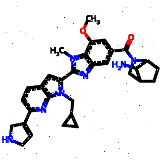 COc1cc(C(=O)N2CC3CCC2C3N)cc2nc(-c3cc4ccc(C5=CCNC5)nc4n3CC3CC3)n(C)c12